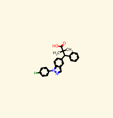 CC(C)(C(=O)O)C(c1ccccc1)c1ccc2c(cnn2-c2ccc(F)cc2)c1